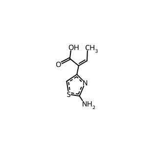 CC=C(C(=O)O)c1csc(N)n1